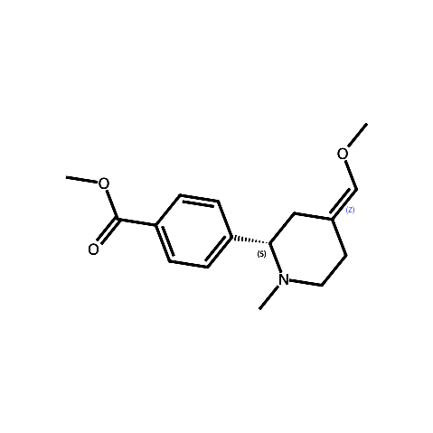 CO/C=C1/CCN(C)[C@H](c2ccc(C(=O)OC)cc2)C1